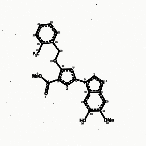 COC(=O)c1sc(-n2cnc3cc(OC)c(O)cc32)cc1OCc1ccccc1C(F)(F)F